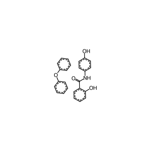 O=C(Nc1ccc(O)cc1)c1ccccc1O.c1ccc(Oc2ccccc2)cc1